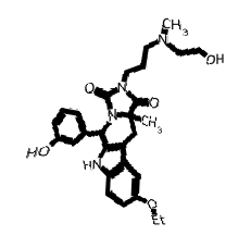 CCOc1ccc2[nH]c3c(c2c1)CC1(C)C(=O)N(CCCN(C)CCO)C(=O)N1C3c1cccc(O)c1